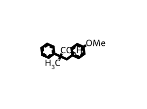 COc1ccc(CC(C)(C(=O)O)c2ccccc2)cc1